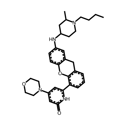 CCCCN1CCC(Nc2ccc3c(c2)Cc2cccc(-c4cc(N5CCOCC5)cc(=O)[nH]4)c2O3)CC1C